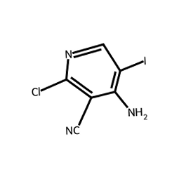 N#Cc1c(Cl)ncc(I)c1N